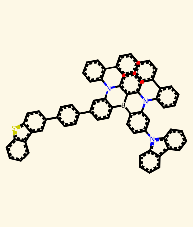 c1ccc(-c2ccccc2N2c3cc(-c4ccc(-c5ccc6sc7ccccc7c6c5)cc4)ccc3B3c4ccc(-n5c6ccccc6c6ccccc65)cc4N(c4ccccc4-c4ccccc4)c4cccc2c43)cc1